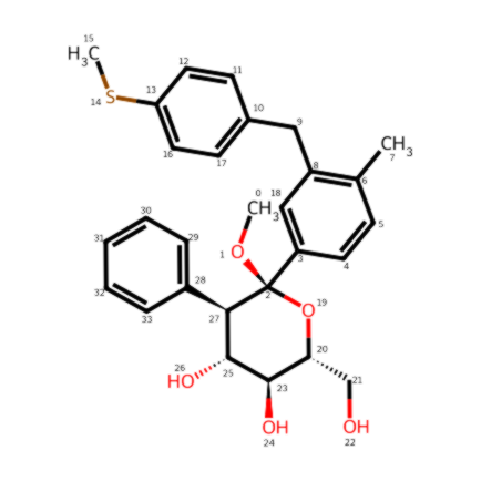 CO[C@@]1(c2ccc(C)c(Cc3ccc(SC)cc3)c2)O[C@H](CO)[C@@H](O)[C@H](O)[C@H]1c1ccccc1